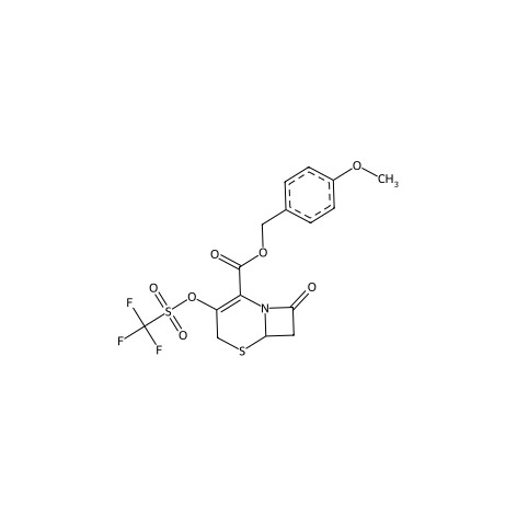 COc1ccc(COC(=O)C2=C(OS(=O)(=O)C(F)(F)F)CSC3CC(=O)N23)cc1